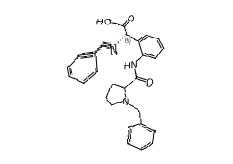 O=C(Nc1ccccc1[C@H](N=Cc1ccccc1)C(=O)O)C1CCCN1Cc1ccccc1